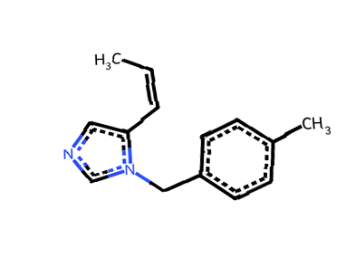 C/C=C\c1cncn1Cc1ccc(C)cc1